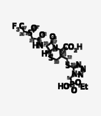 CCOP(=O)(O)Cn1nnnc1SCC1=C(C(=O)O)N2C(=O)[C@@H](NC(=O)C[S+]([O-])CC(F)(F)F)[C@H]2SC1